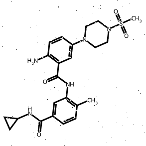 Cc1ccc(C(=O)NC2CC2)cc1NC(=O)c1cc(N2CCN(S(C)(=O)=O)CC2)ccc1N